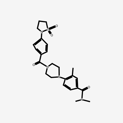 Cc1cc(C(=O)N(C)C)ccc1N1CCN(C(=O)c2ccc(N3CCCS3(=O)=O)cc2)CC1